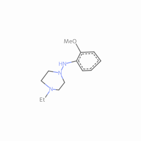 CCN1CCN(Nc2ccccc2OC)CC1